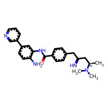 C[C@H](CC(=N)Cc1ccc(C(=O)Nc2cc(-c3cccnc3)ccc2N)cc1)N(C)C